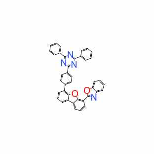 c1ccc(-c2nc(-c3ccccc3)nc(-c3ccc(-c4cccc5c4oc4c(-c6nc7ccccc7o6)cccc45)cc3)n2)cc1